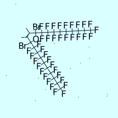 CC(C)C(Br)(OC(Br)(C(C)C)C(F)(F)C(F)(F)C(F)(F)C(F)(F)C(F)(F)C(F)(F)C(F)(F)C(F)(F)C(F)(F)F)C(F)(F)C(F)(F)C(F)(F)C(F)(F)C(F)(F)C(F)(F)C(F)(F)C(F)(F)C(F)(F)F